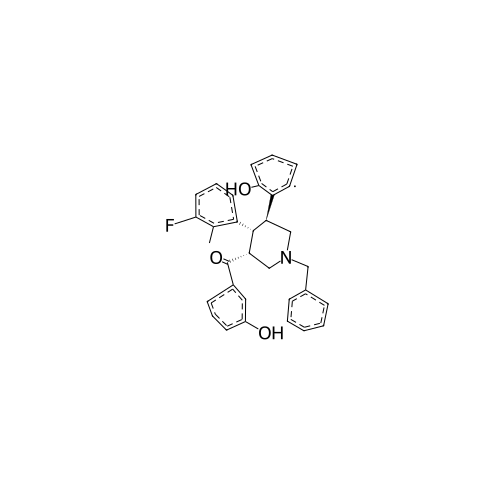 Cc1c(F)cccc1[C@H]1[C@@H](C(=O)c2cccc(O)c2)CN(Cc2ccccc2)C[C@@H]1c1[c]cccc1O